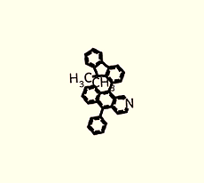 CC1(C)c2ccccc2-c2cccc(-c3c4ccccc4c(-c4ccccc4)c4ccncc34)c21